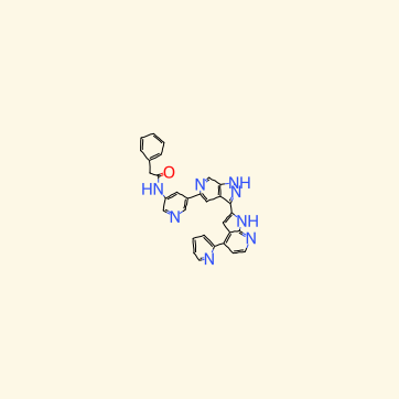 O=C(Cc1ccccc1)Nc1cncc(-c2cc3c(-c4cc5c(-c6ccccn6)ccnc5[nH]4)n[nH]c3cn2)c1